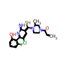 C=CC(=O)N1CCN(/C(S)=C2\C=C(Cl)C(c3c(O)cccc3F)=NC2=N)C(C)C1